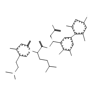 Cc1cc(=O)n(C(CCC(C)C)C(=O)N[C@@H](CC(=O)O)c2cc(-c3c(C)cc(F)cc3C)cc(C)c2F)cc1CCN(C)C